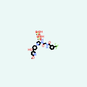 COc1ccc([C@]2(O)CC[C@@H](N3CC[C@@H](NC(=O)CNC(=O)c4cccc(C(F)(F)F)c4)C3)CC2)cn1.CS(=O)(=O)O.CS(=O)(=O)O